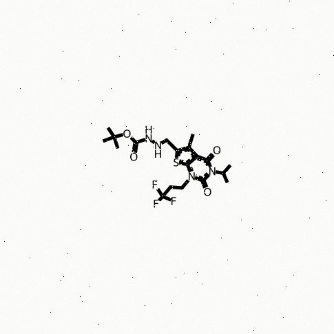 Cc1c(CNNC(=O)OC(C)(C)C)sc2c1c(=O)n(C(C)C)c(=O)n2CCC(F)(F)F